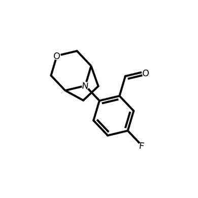 O=Cc1cc(F)ccc1N1C2CCC1COC2